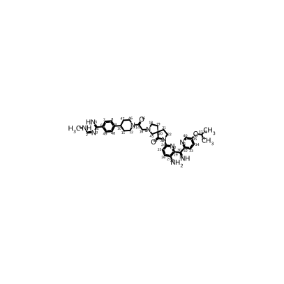 CN/C=N\C(=N)c1ccc(C2CCN(C(=O)CN3CC[C@]4(CCN(c5ccc(N)c(C(=N)c6ccc(OC(C)C)cn6)n5)C4=O)C3)CC2)cc1